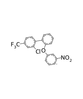 O=[N+]([O-])c1[c]ccc(Oc2ccccc2-c2ccc(C(F)(F)F)cc2Cl)c1